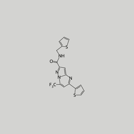 O=C(NCc1cccs1)c1cc2nc(-c3cccs3)cc(C(F)(F)F)n2n1